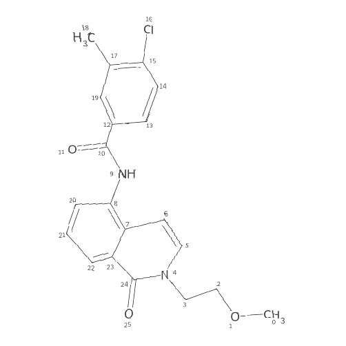 COCCn1ccc2c(NC(=O)c3ccc(Cl)c(C)c3)cccc2c1=O